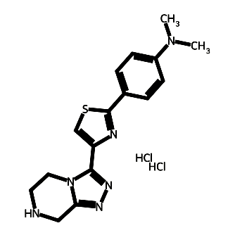 CN(C)c1ccc(-c2nc(-c3nnc4n3CCNC4)cs2)cc1.Cl.Cl